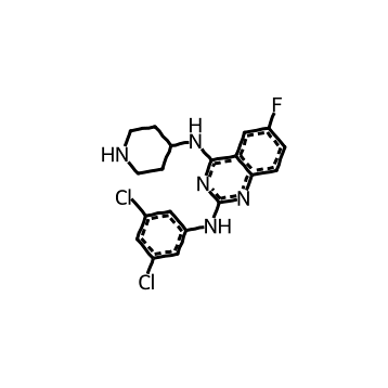 Fc1ccc2nc(Nc3cc(Cl)cc(Cl)c3)nc(NC3CCNCC3)c2c1